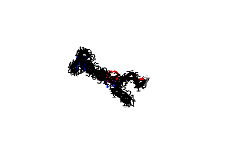 c1ccc(-c2cccc(-c3cc(-c4cccc(-c5ccccc5)c4)c4nc(-c5ccc(-c6ccc7c(c6)c6ccccc6n7-c6ccccc6)cc5)oc4c3)c2)cc1